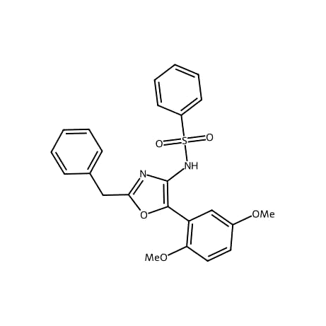 COc1ccc(OC)c(-c2oc(Cc3ccccc3)nc2NS(=O)(=O)c2ccccc2)c1